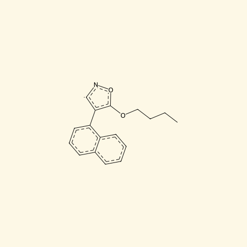 CCCCOc1on[c]c1-c1cccc2ccccc12